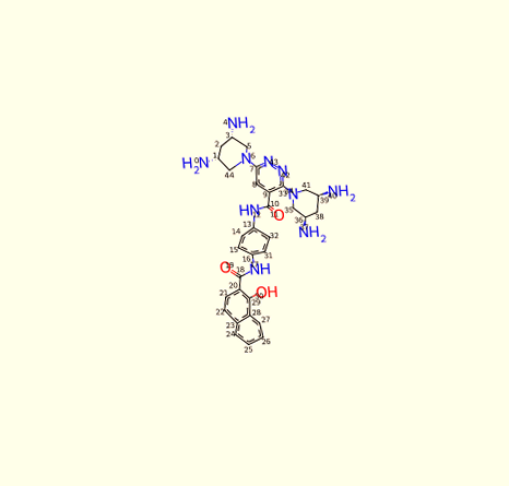 N[C@@H]1C[C@H](N)CN(c2cc(C(=O)Nc3ccc(NC(=O)c4ccc5ccccc5c4O)cc3)c(N3C[C@H](N)C[C@H](N)C3)nn2)C1